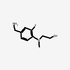 CN(CCS)c1ccc(CN)cc1F